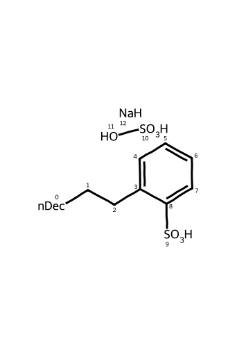 CCCCCCCCCCCCc1ccccc1S(=O)(=O)O.O=S(=O)(O)O.[NaH]